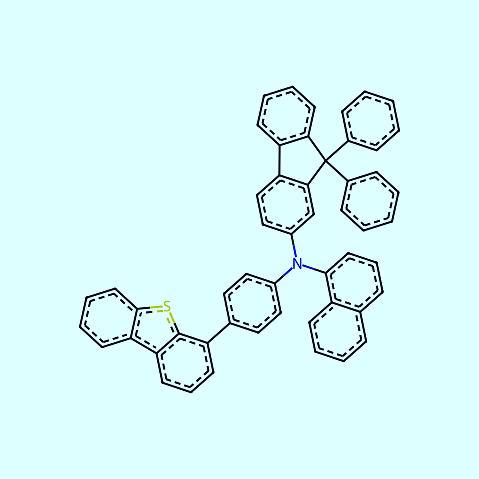 c1ccc(C2(c3ccccc3)c3ccccc3-c3ccc(N(c4ccc(-c5cccc6c5sc5ccccc56)cc4)c4cccc5ccccc45)cc32)cc1